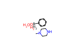 Bc1ccccc1.CN1CCNCC1.O.O